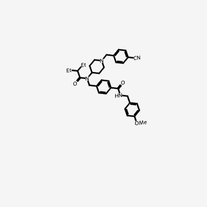 CCC(CC)C(=O)N(Cc1ccc(C(=O)NCc2ccc(OC)cc2)cc1)C1CCN(Cc2ccc(C#N)cc2)CC1